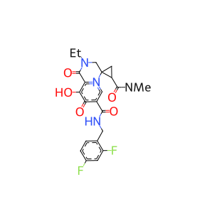 CCN1CC2(CC2C(=O)NC)n2cc(C(=O)NCc3ccc(F)cc3F)c(=O)c(O)c2C1=O